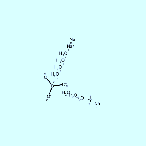 O.O.O.O.O.O.O.O.[Na+].[Na+].[Na+].[O-]B([O-])[O-]